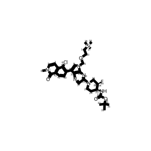 Cn1ccc2c(Cl)c(-c3cn(COCC[Si](C)(C)C)c4nc(N5CC[C@H](NC(=O)OC(C)(C)C)[C@H](F)C5)cnc34)ccc2c1=O